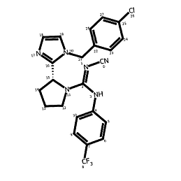 N#C/N=C(\Nc1ccc(C(F)(F)F)cc1)N1CCC[C@@H]1c1nccn1Cc1ccc(Cl)cc1